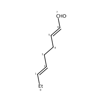 CCC=CCCC=C[C]=O